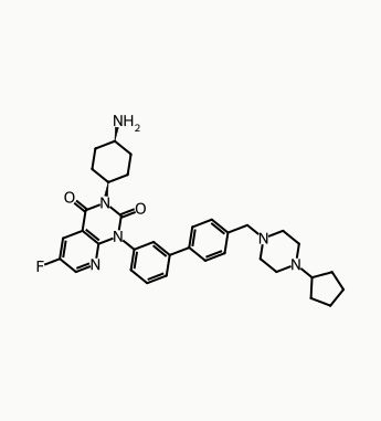 N[C@H]1CC[C@@H](n2c(=O)c3cc(F)cnc3n(-c3cccc(-c4ccc(CN5CCN(C6CCCC6)CC5)cc4)c3)c2=O)CC1